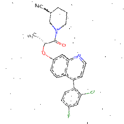 C[C@@H](Oc1ccc2c(-c3ccc(F)cc3Cl)ccnc2c1)C(=O)N1CCC[C@H](C#N)C1